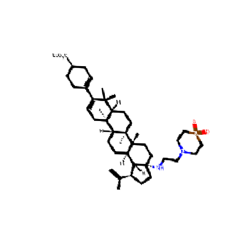 C=C(C)[C@@H]1CC[C@]2(NCCN3CCS(=O)(=O)CC3)CC[C@]3(C)[C@H](CC[C@@H]4[C@@]5(C)CC=C(C6=CC[C@H](C(=O)OCC)CC6)C(C)(C)[C@@H]5CC[C@]43C)[C@@H]12